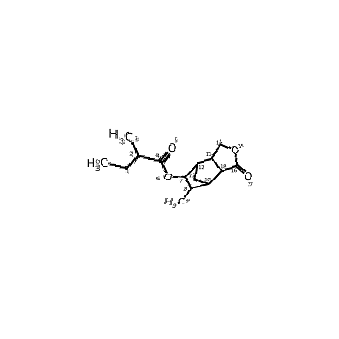 CCC(C)C(=O)OC1C(C)C2CC1C1COC(=O)C21